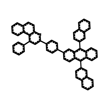 c1ccc(-c2cc(-c3ccc(-c4ccc5c(-c6ccc7ccccc7c6)c6ccccc6c(-c6ccc7ccccc7c6)c5c4)cc3)nc3ccc4ccccc4c23)cc1